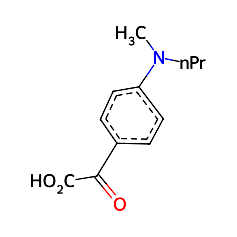 CCCN(C)c1ccc(C(=O)C(=O)O)cc1